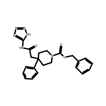 O=C(CC1(c2ccccc2)CCN(C(=O)OCc2ccccc2)CC1)Nc1nnn[nH]1